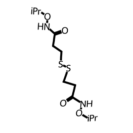 CC(C)ONC(=O)CCSSCCC(=O)NOC(C)C